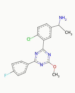 COc1nc(-c2ccc(F)cc2)nc(-c2cc(C(C)N)ccc2Cl)n1